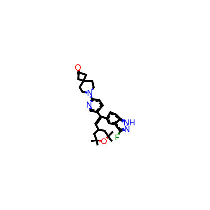 CC1(C)CC(C=C(c2ccc(N3CCC4(CC3)CC(=O)C4)nc2)c2ccc3[nH]nc(F)c3c2)CC(C)(C)O1